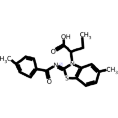 CCC(C(=O)O)n1/c(=N/C(=O)c2ccc(C)cc2)sc2ccc(C)cc21